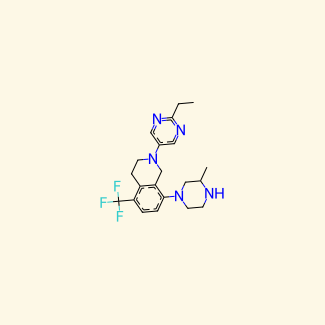 CCc1ncc(N2CCc3c(C(F)(F)F)ccc(N4CCNC(C)C4)c3C2)cn1